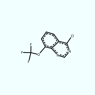 FC(F)(F)Oc1cccc2c(Cl)ncnc12